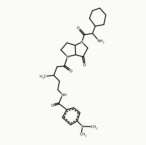 CC(CCNC(=O)c1ccc(N(C)C)cc1)CC(=O)N1CCC2C1C(=O)CN2C(=O)C(N)C1CCCCC1